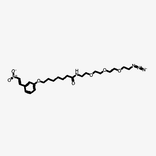 [N-]=[N+]=NCCOCCOCCOCCNC(=O)CCCCCCOc1cccc(C=C[N+](=O)[O-])c1